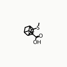 CSC1C(C(=O)O)C2CCC13CC2C3(F)F